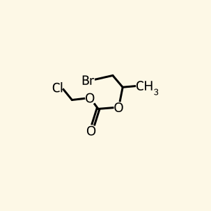 CC(CBr)OC(=O)OCCl